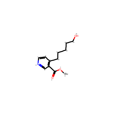 CC(C)(C)OC(=O)c1cnccc1CCCCCO